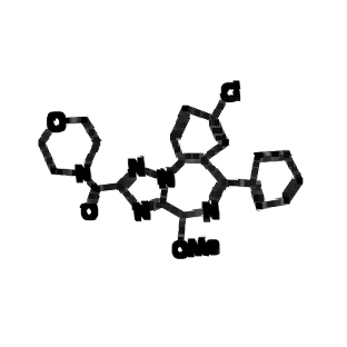 COC1N=C(c2ccccc2)c2cc(Cl)ccc2-n2nc(C(=O)N3CCOCC3)nc21